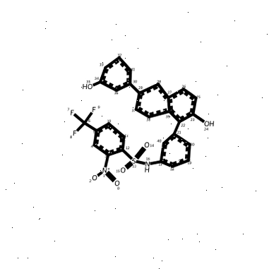 O=[N+]([O-])c1cc(C(F)(F)F)ccc1S(=O)(=O)Nc1cccc(-c2c(O)ccc3cc(-c4cccc(O)c4)ccc23)c1